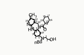 CCCCN(CCO)c1ccc2c(c1)N(C(=O)C1CCCCC1)Cc1cc(C)cnc1N2